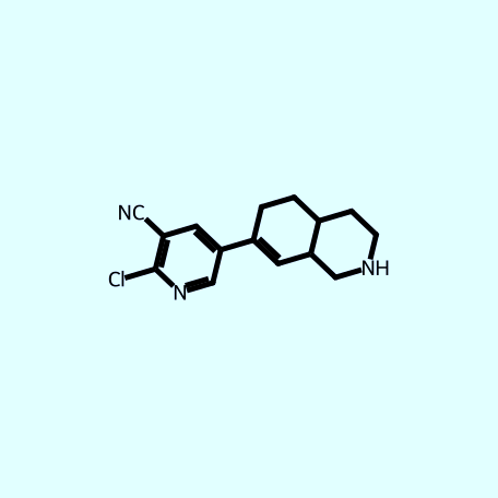 N#Cc1cc(C2=CC3CNCCC3CC2)cnc1Cl